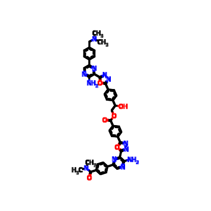 CN(C)Cc1ccc(-c2cnc(N)c(-c3nnc(-c4ccc(C(O)COC(=O)c5ccc(-c6nnc(-c7nc(-c8ccc(C(=O)N(C)C)cc8)cnc7N)o6)cc5)cc4)o3)n2)cc1